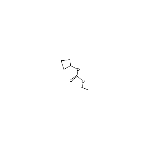 C[CH]OC(=O)OC1CCC1